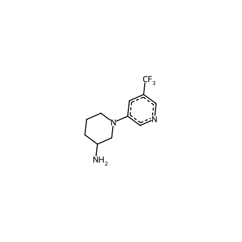 NC1CCCN(c2cncc(C(F)(F)F)c2)C1